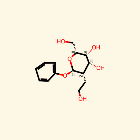 OCC[C@@H]1[C@@H](Oc2ccccc2)O[C@H](CO)[C@H](O)[C@@H]1O